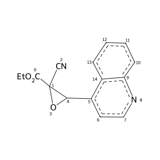 CCOC(=O)C1(C#N)OC1c1ccnc2ccccc12